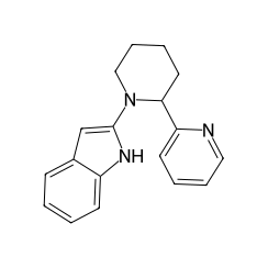 c1ccc(C2CCCCN2c2cc3ccccc3[nH]2)nc1